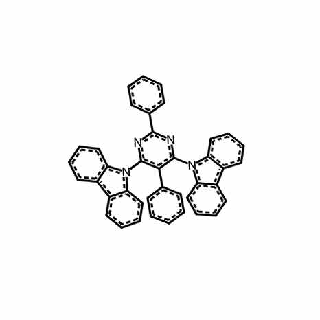 c1ccc(-c2nc(-n3c4ccccc4c4ccccc43)c(-c3ccccc3)c(-n3c4ccccc4c4ccccc43)n2)cc1